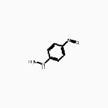 NNc1ccc(N=O)cc1